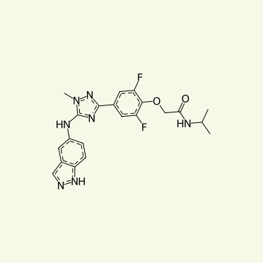 CC(C)NC(=O)COc1c(F)cc(-c2nc(Nc3ccc4[nH]ncc4c3)n(C)n2)cc1F